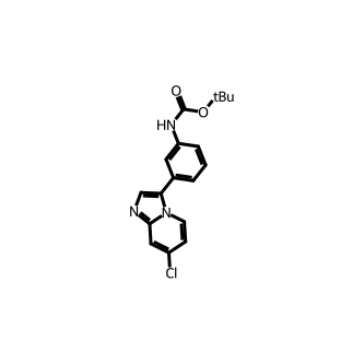 CC(C)(C)OC(=O)Nc1cccc(-c2cnc3cc(Cl)ccn23)c1